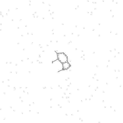 Cc1ccc2ccn(C)c2c1I